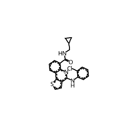 O=C(NCC1CC1)c1cccc2c1nc(Nc1ccccc1Cl)c1ccsc12